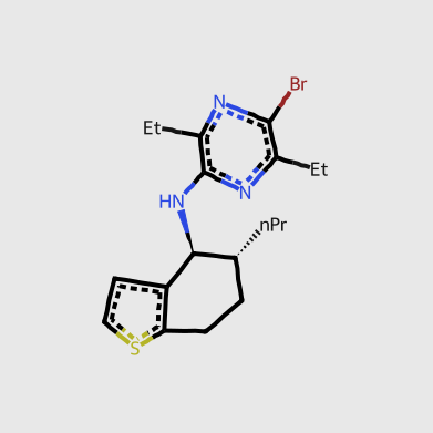 CCC[C@@H]1CCc2sccc2[C@H]1Nc1nc(CC)c(Br)nc1CC